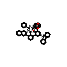 c1ccc(-c2nc(-c3ccccc3)nc(-c3c(-c4ccc5ccccc5c4)cccc3-c3cc(-n4c5ccccc5c5ccccc54)cc4c3sc3ccccc34)n2)cc1